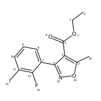 CCOC(=O)c1c(-c2cccc(I)c2F)noc1C